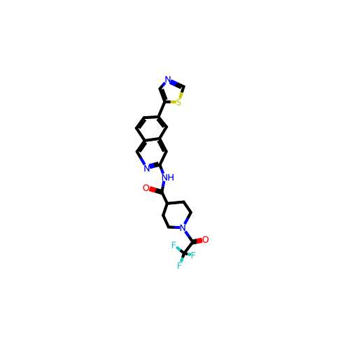 O=C(Nc1cc2cc(-c3cncs3)ccc2cn1)C1CCN(C(=O)C(F)(F)F)CC1